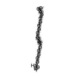 CC(C)(C)OC(=O)NCCOCCOCCOCCOCCOCCN1CCN(C2CCN(CCOCCOCCOCCOCCOCCOc3ccc([N+](=O)[O-])cc3)CC2)CC1